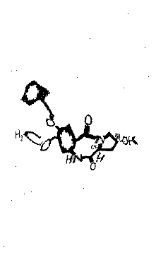 COc1cc2c(cc1OCc1ccccc1)C(=O)N1C[C@H](O)C[C@H]1C(=O)N2